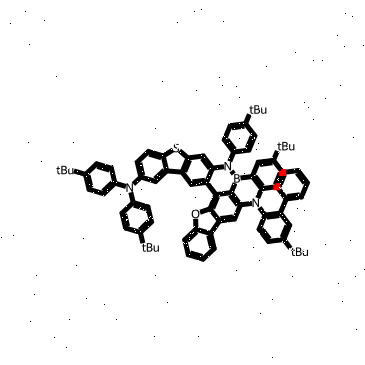 CC(C)(C)c1ccc(N2B3c4cc(C(C)(C)C)ccc4N(c4ccc(C(C)(C)C)cc4-c4ccccc4)c4cc5c(oc6ccccc65)c(c43)-c3cc4c(cc32)sc2ccc(N(c3ccc(C(C)(C)C)cc3)c3ccc(C(C)(C)C)cc3)cc24)cc1